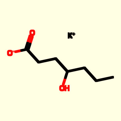 CCCC(O)CCC(=O)[O-].[K+]